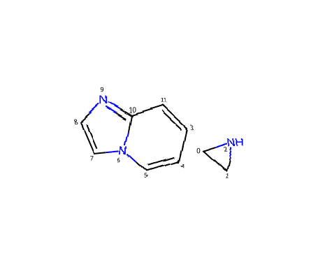 C1CN1.c1ccn2ccnc2c1